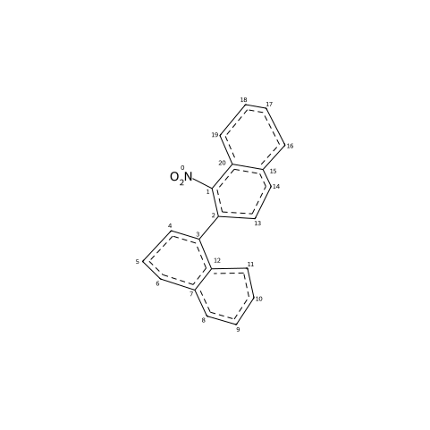 O=[N+]([O-])c1c(-c2cccc3ccccc23)ccc2ccccc12